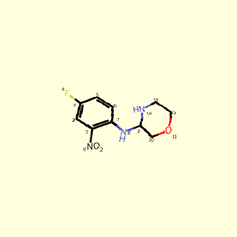 O=[N+]([O-])c1cc(F)ccc1NC1COCCN1